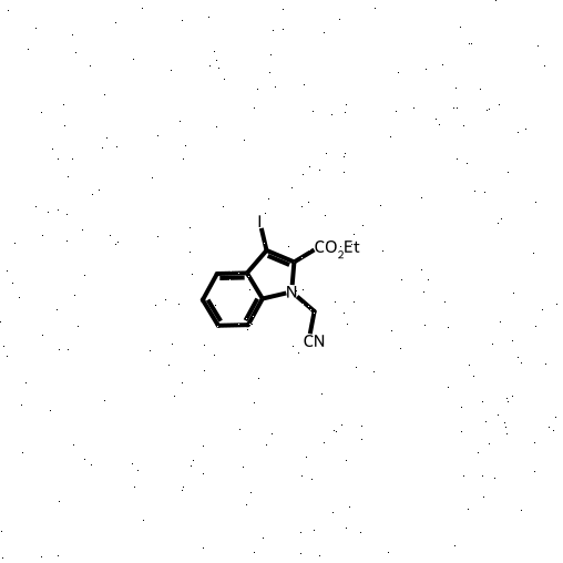 CCOC(=O)c1c(I)c2ccccc2n1CC#N